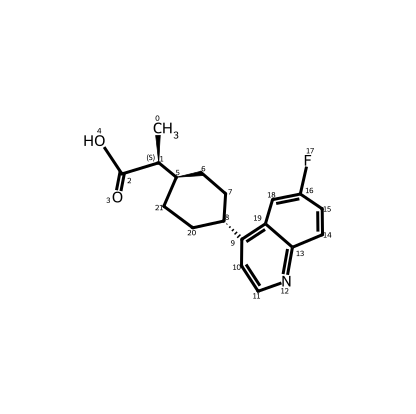 C[C@H](C(=O)O)[C@H]1CC[C@H](c2ccnc3ccc(F)cc32)CC1